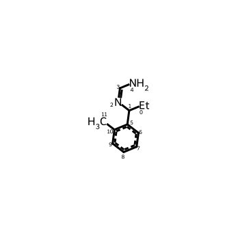 CCC(/N=C\N)c1ccccc1C